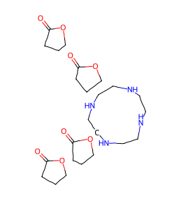 C1CNCCNCCNCCN1.O=C1CCCO1.O=C1CCCO1.O=C1CCCO1.O=C1CCCO1